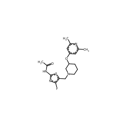 CC(=O)Nc1nc(F)c(CN2CCCC(Oc3cc(C)nc(C)c3)C2)s1